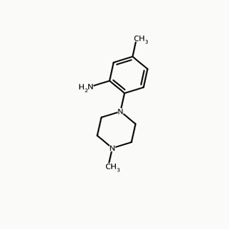 Cc1ccc(N2CCN(C)CC2)c(N)c1